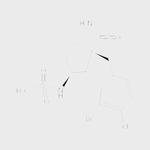 CS(=O)(=O)N[C@H]1CC[C@](Cc2ccc(Cl)c(Br)c2)(C(N)=O)C1